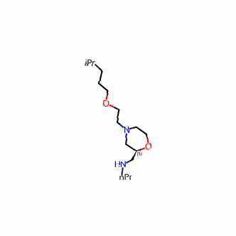 CCCNC[C@H]1CN(CCOCCCC(C)C)CCO1